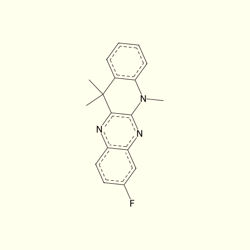 CN1c2ccccc2C(C)(C)c2nc3ccc(F)cc3nc21